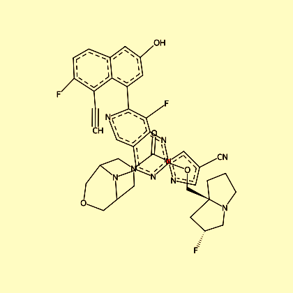 C#Cc1c(F)ccc2cc(O)cc(-c3ncc4c(N5C6COCC5CN(C(=O)n5cc(C#N)cn5)C6)nc(OC[C@@]56CCCN5C[C@H](F)C6)nc4c3F)c12